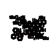 C[C@@H](OC(C)(C)C)[C@H](NC(=O)CNC(=O)[C@H](CCC(=O)NC(c1ccccc1)(c1ccccc1)c1ccccc1)NC(=O)[C@@H](COC(C)(C)C)NC(=O)[C@H](Cc1cn(C(=O)OC(C)(C)C)cn1)NC(=O)OC(C)(C)C)C(=O)N[C@@H](Cc1ccccc1)C(=O)N[C@H](C(=O)N[C@@H](COC(C)(C)C)C(=O)N[C@@H](CC(=O)OC(C)(C)C)C(=O)N[C@@H](CCCCN)C(=O)O)[C@@H](C)OC(C)(C)C